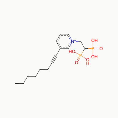 CCCCCCC#Cc1ccc[n+](CC(P(=O)(O)O)P(=O)(O)O)c1